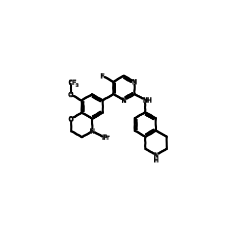 CC(C)N1CCOc2c(OC(F)(F)F)cc(-c3nc(Nc4ccc5c(c4)CCNC5)ncc3F)cc21